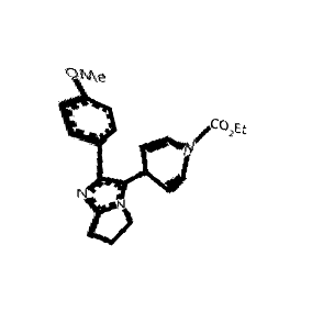 CCOC(=O)N1C=CC(c2c(-c3ccc(OC)cc3)nc3n2CCC3)C=C1